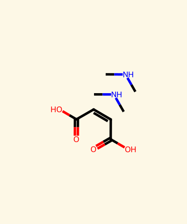 CNC.CNC.O=C(O)/C=C\C(=O)O